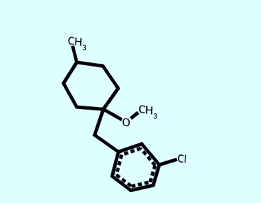 COC1(Cc2cccc(Cl)c2)CCC(C)CC1